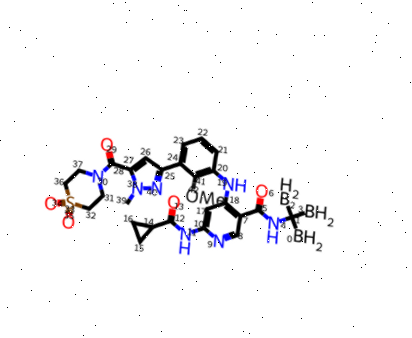 BC(B)(B)NC(=O)c1cnc(NC(=O)C2CC2)cc1Nc1cccc(-c2cc(C(=O)N3CCS(=O)(=O)CC3)n(C)n2)c1OC